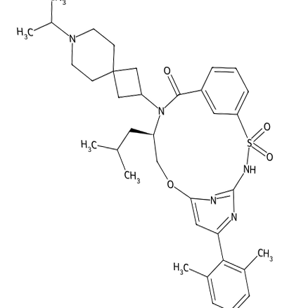 Cc1cccc(C)c1-c1cc2nc(n1)NS(=O)(=O)c1cccc(c1)C(=O)N(C1CC3(CCN(C(C)C)CC3)C1)[C@H](CC(C)C)CO2